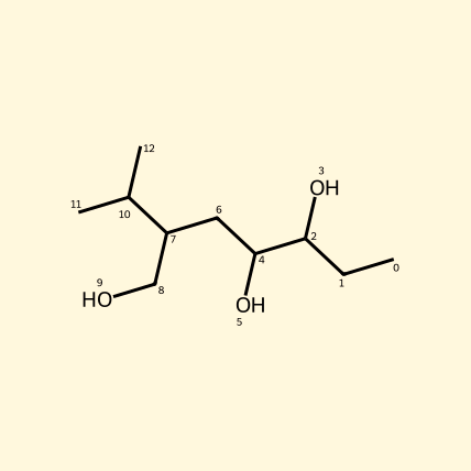 CCC(O)C(O)CC(CO)C(C)C